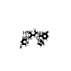 Cc1ccc(-n2nccn2)c(C(=O)NC(C)C/C(C=N)=C/Nc2ccc(F)cn2)c1